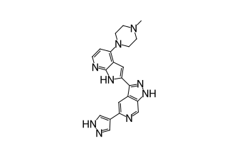 CN1CCN(c2ccnc3[nH]c(-c4n[nH]c5cnc(-c6cn[nH]c6)cc45)cc23)CC1